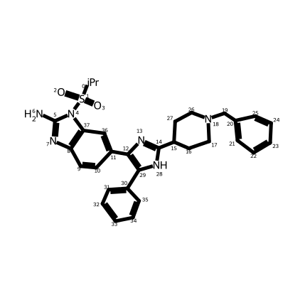 CC(C)S(=O)(=O)n1c(N)nc2ccc(-c3nc(C4CCN(Cc5ccccc5)CC4)[nH]c3-c3ccccc3)cc21